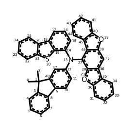 CC1(C)c2ccccc2-c2ccc(N(c3cccc4c3sc3ccccc34)c3c4oc5ccccc5c4cc4oc5ccccc5c34)cc21